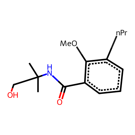 CCCc1cccc(C(=O)NC(C)(C)CO)c1OC